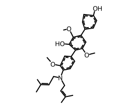 COc1cc(-c2c(OC)cc(-c3ccc(O)cc3)c(OC)c2O)ccc1N(CC=C(C)C)CC=C(C)C